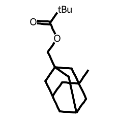 CC12CC3CC(C1)CC(COC(=O)C(C)(C)C)(C3)C2